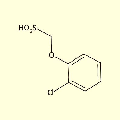 O=S(=O)(O)COc1ccccc1Cl